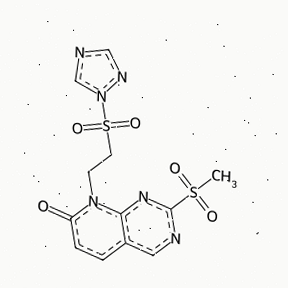 CS(=O)(=O)c1ncc2ccc(=O)n(CCS(=O)(=O)n3cncn3)c2n1